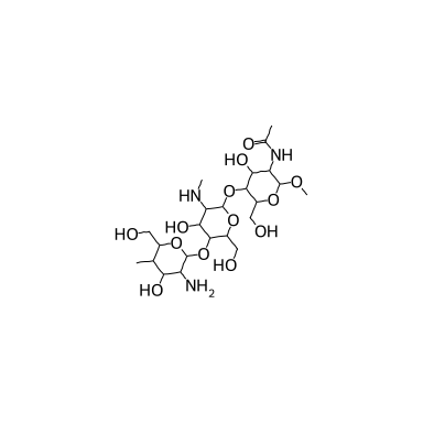 CNC1C(OC2C(CO)OC(OC)C(NC(C)=O)C2O)OC(CO)C(OC2OC(CO)C(C)C(O)C2N)C1O